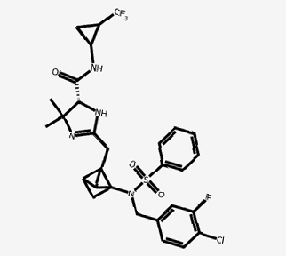 CC1(C)N=C(CC2C3CC2(N(Cc2ccc(Cl)c(F)c2)S(=O)(=O)c2ccccc2)C3)N[C@H]1C(=O)NC1CC1C(F)(F)F